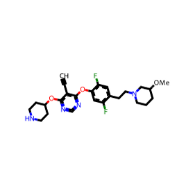 C#Cc1c(Oc2cc(F)c(CCN3CCCC(OC)C3)cc2F)ncnc1OC1CCNCC1